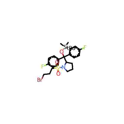 CC(C)(C)[Si](C)(C)OC(c1ccc(F)cc1)(c1ccc(F)cc1)C1CCCN1S(=O)(=O)CCCBr